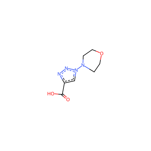 O=C(O)c1cn(N2CCOCC2)nn1